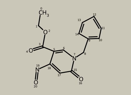 CCOC(=O)c1cn(Cc2ccccc2)c(=O)cc1N=O